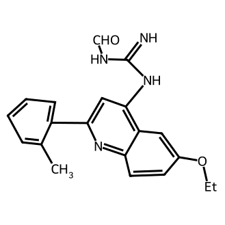 CCOc1ccc2nc(-c3ccccc3C)cc(NC(=N)NC=O)c2c1